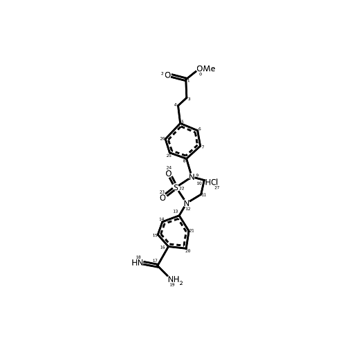 COC(=O)CCc1ccc(N2CCN(c3ccc(C(=N)N)cc3)S2(=O)=O)cc1.Cl